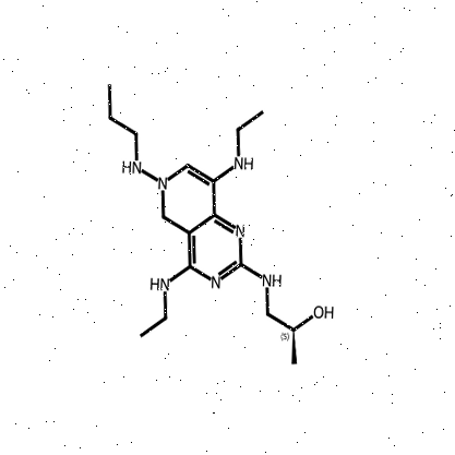 CCCNN1C=C(NCC)c2nc(NC[C@H](C)O)nc(NCC)c2C1